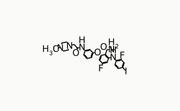 CN1CCN(CC(=O)Nc2cccc(Oc3cc(F)cc(Nc4ccc(I)cc4F)c3C(N)=O)c2)CC1